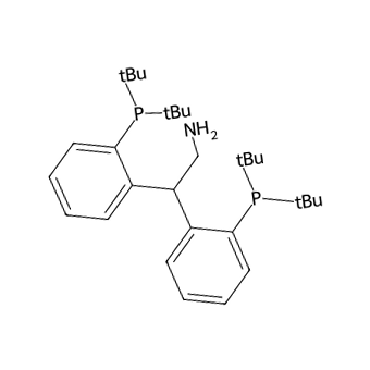 CC(C)(C)P(c1ccccc1C(CN)c1ccccc1P(C(C)(C)C)C(C)(C)C)C(C)(C)C